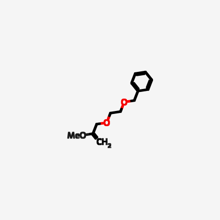 C=C(COCCOCc1ccccc1)OC